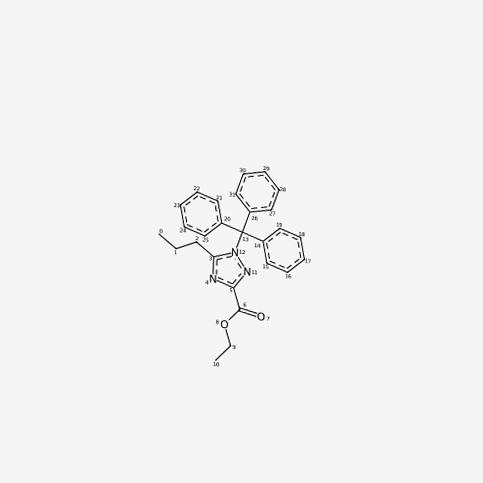 CCCc1nc(C(=O)OCC)nn1C(c1ccccc1)(c1ccccc1)c1ccccc1